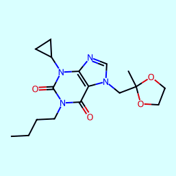 CCCCn1c(=O)c2c(ncn2CC2(C)OCCO2)n(C2CC2)c1=O